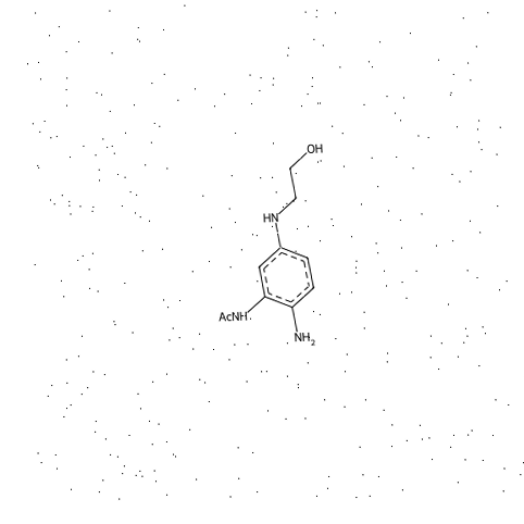 CC(=O)Nc1cc(NCCO)ccc1N